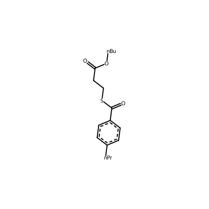 CCCCOC(=O)CCSC(=O)c1ccc(CCC)cc1